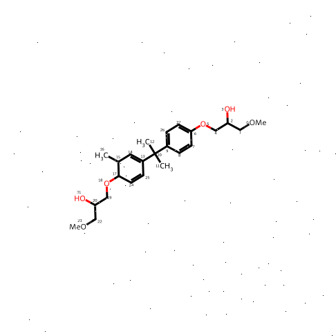 COCC(O)COc1ccc(C(C)(C)C2=CC(C)C(OCC(O)COC)C=C2)cc1